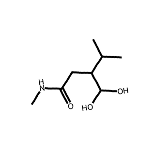 CNC(=O)CC(C(C)C)C(O)O